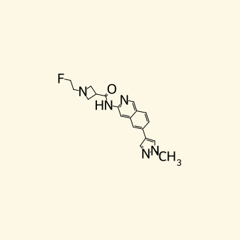 Cn1cc(-c2ccc3cnc(NC(=O)C4CN(CCF)C4)cc3c2)cn1